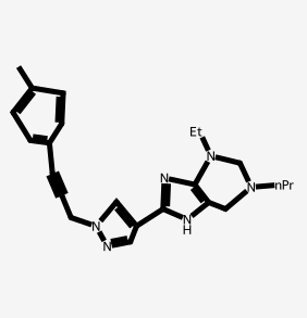 CCCN1Cc2[nH]c(-c3cnn(CC#Cc4ccc(C)cc4)c3)nc2N(CC)C1